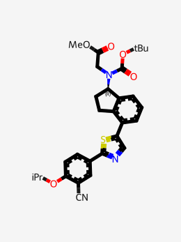 COC(=O)CN(C(=O)OC(C)(C)C)[C@@H]1CCc2c(-c3cnc(-c4ccc(OC(C)C)c(C#N)c4)s3)cccc21